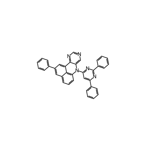 c1ccc(-c2cc3c4c(cccc4c2)N(c2cc(-c4ccccc4)nc(-c4ccccc4)n2)c2cncnc2-3)cc1